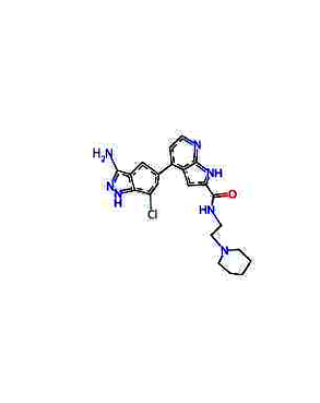 Nc1n[nH]c2c(Cl)cc(-c3ccnc4[nH]c(C(=O)NCCN5CCCCC5)cc34)cc12